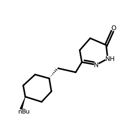 CCCC[C@H]1CC[C@H](CCC2=NNC(=O)CC2)CC1